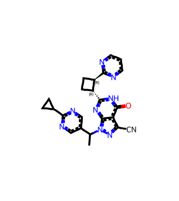 CC(c1cnc(C2CC2)nc1)n1nc(C#N)c2c(=O)[nH]c([C@@H]3CC[C@H]3c3ncccn3)nc21